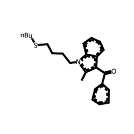 CCCCSCCCCn1c(C)c(C(=O)c2ccccc2)c2ccccc21